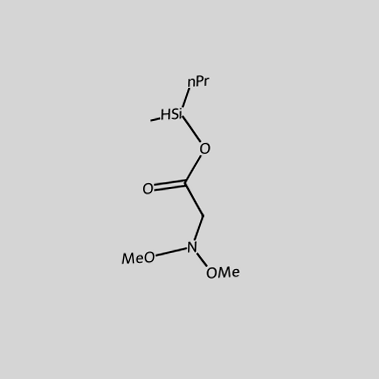 CCC[SiH](C)OC(=O)CN(OC)OC